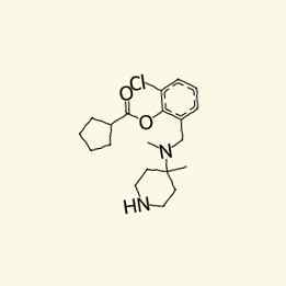 CN(Cc1cccc(Cl)c1OC(=O)C1CCCC1)C1(C)CCNCC1